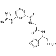 CCOC(=O)CC(NC(=O)CNC(=O)c1cccc(NC(=N)N)c1)c1ccoc1